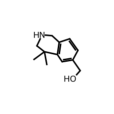 CC1(C)CNCc2ccc(CO)cc21